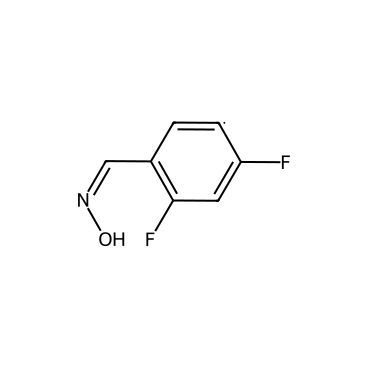 O/N=C\c1c[c]c(F)cc1F